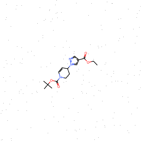 CCOC(=O)c1cnn(C2C=CN(C(=O)OC(C)(C)C)CC2)c1